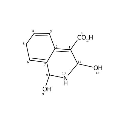 O=C(O)C1=C2C=CCC=C2C(O)NC1O